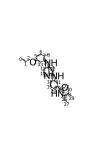 C=CCOc1ccc(C)c(Nc2ccnc(Nc3cccc(C(=O)NC(CC)C(C)C)c3)n2)c1